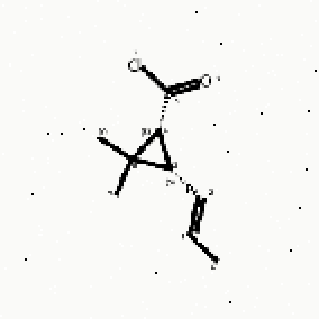 CC=C[C@H]1[C@@H](C(=O)Cl)C1(C)C